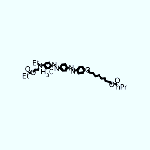 CCCC(=O)OCCCCCCCCOc1ccc(N=Nc2ccc(N=Nc3ccc(N(CC)CCOC(=O)CC)cc3C)cc2)cc1